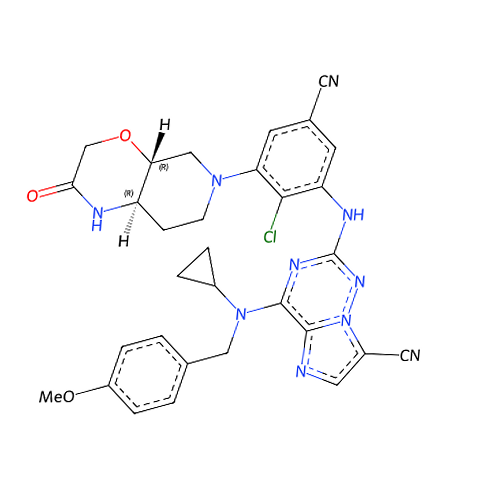 COc1ccc(CN(c2nc(Nc3cc(C#N)cc(N4CC[C@H]5NC(=O)CO[C@@H]5C4)c3Cl)nn3c(C#N)cnc23)C2CC2)cc1